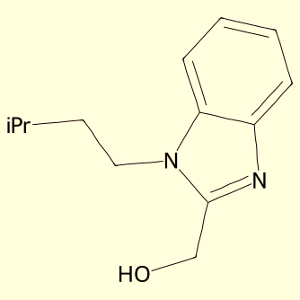 CC(C)CCn1c(CO)nc2ccccc21